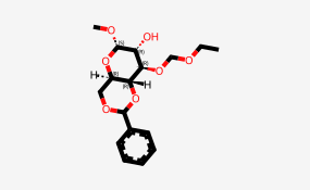 CCOCO[C@@H]1[C@@H](O)[C@@H](OC)O[C@@H]2COC(c3ccccc3)O[C@@H]12